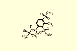 [2H]/C(c1ccc(S(=O)(=O)OC)c(C)c1S(=O)(=O)OC)=[N+](/[O-])C(C)(C)CC